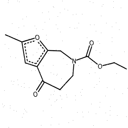 CCOC(=O)N1CCC(=O)c2cc(C)oc2C1